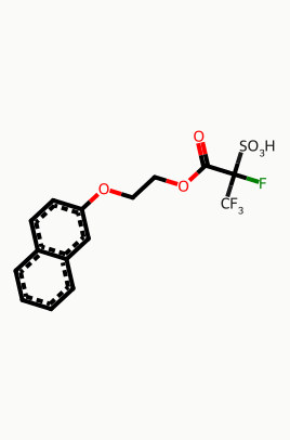 O=C(OCCOc1ccc2ccccc2c1)C(F)(C(F)(F)F)S(=O)(=O)O